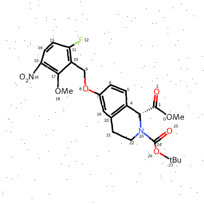 COC(=O)[C@H]1c2ccc(OCc3c(F)ccc([N+](=O)[O-])c3OC)cc2CCN1C(=O)OC(C)(C)C